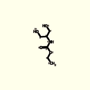 CCOC(=O)NC(CO)CO